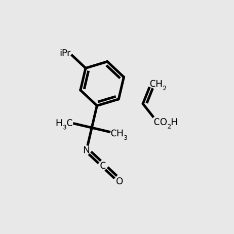 C=CC(=O)O.CC(C)c1cccc(C(C)(C)N=C=O)c1